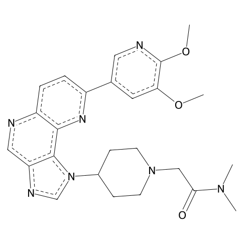 COc1cc(-c2ccc3ncc4ncn(C5CCN(CC(=O)N(C)C)CC5)c4c3n2)cnc1OC